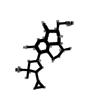 C[C@H]1COc2c(N3CC(C4CC4)C(C)(N)C3)c(F)cc3c(=O)c(OC(=O)O)cn1c23